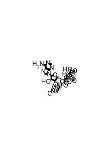 Nc1ncnc2c1ncn2[C@@H]1O[C@H](COP(=O)([O-])OP(=O)([O-])OP(=O)(O)O)[C@@H](O)[C@H]1O.[Cl-].[Na+].[Na+].[Na+]